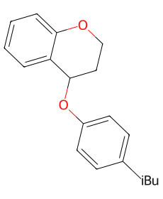 CCC(C)c1ccc(OC2CCOc3ccccc32)cc1